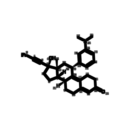 CC(C)C#C[C@]1(O)CC[C@H]2[C@@H]3CCC4=CC(=O)CCC4=C3[C@@H](c3cccc(N(C)C)c3)C[C@@]21C